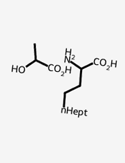 CC(O)C(=O)O.CCCCCCCCCC(N)C(=O)O